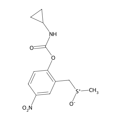 C[S+]([O-])Cc1cc([N+](=O)[O-])ccc1OC(=O)NC1CC1